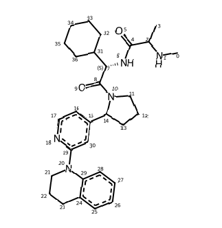 CNC(C)C(=O)N[C@H](C(=O)N1CCCC1c1ccnc(N2CCCc3ccccc32)c1)C1CCCCC1